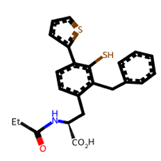 CCC(=O)N[C@@H](Cc1ccc(-c2cccs2)c(S)c1Cc1ccccc1)C(=O)O